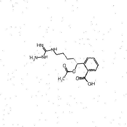 CC(=O)O[C@H](CCCCNC(=N)NN)c1ccccc1C(=O)O